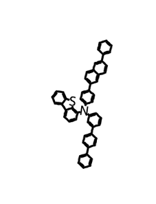 c1ccc(-c2ccc(-c3cccc(N(c4ccc(-c5ccc6cc(-c7ccccc7)ccc6c5)cc4)c4cccc5c4sc4ccccc45)c3)cc2)cc1